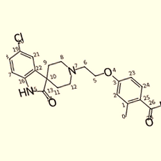 Cc1cc(OCCN2CCC3(CC2)C(=O)Nc2ccc(Cl)cc23)ccc1C(N)=O